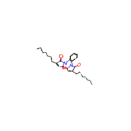 CCCCCCCC1=CC(=O)N(c2ccccc2N2C(=O)C=C(CCCCCCC)C2=O)C1=O